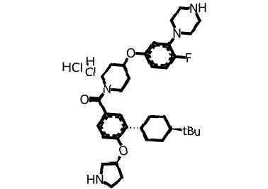 CC(C)(C)[C@H]1CC[C@H](c2cc(C(=O)N3CCC(Oc4ccc(F)c(N5CCNCC5)c4)CC3)ccc2O[C@H]2CCNC2)CC1.Cl.Cl